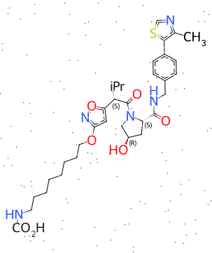 Cc1ncsc1-c1ccc(CNC(=O)[C@@H]2C[C@@H](O)CN2C(=O)[C@H](c2cc(OCCCCCCCCNC(=O)O)no2)C(C)C)cc1